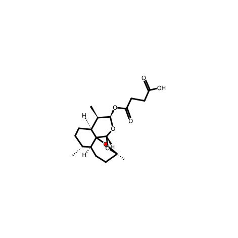 C[C@H]1[C@@H](OC(=O)CCC(=O)O)O[C@@H]2O[C@]3(C)CC[C@H]4[C@H](C)CC[C@@H]1C24OO3